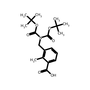 Cc1c(CN(C(=O)OC(C)(C)C)C(=O)OC(C)(C)C)cccc1C(=O)O